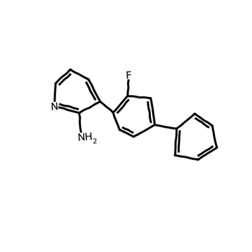 Nc1ncccc1-c1ccc(-c2ccccc2)cc1F